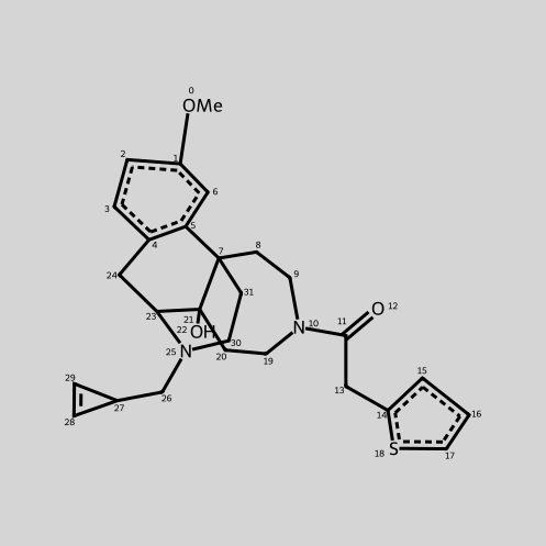 COc1ccc2c(c1)C13CCN(C(=O)Cc4cccs4)CCC1(O)C(C2)N(CC1C=C1)CC3